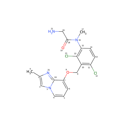 Cc1cn2cccc(OCc3c(Cl)ccc(N(C)C(=O)CN)c3Cl)c2n1